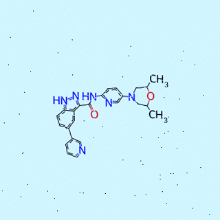 CC1CN(c2ccc(NC(=O)c3n[nH]c4ccc(-c5cccnc5)cc34)nc2)CC(C)O1